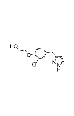 OCCOc1ccc(Cc2cc[nH]n2)cc1Cl